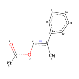 CCC(=O)O/C=C(\C#N)c1ccccc1